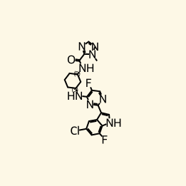 Cn1ncnc1C(=O)N[C@@H]1CCC[C@H](Nc2nc(-c3c[nH]c4c(F)cc(Cl)cc34)ncc2F)C1